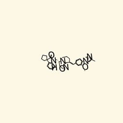 COc1cc(/C=C2\CCCN3C2=NOC[C@@H]3CNC(=O)C2(c3ccccc3)CCCC2)ccc1-n1cnc(C)c1